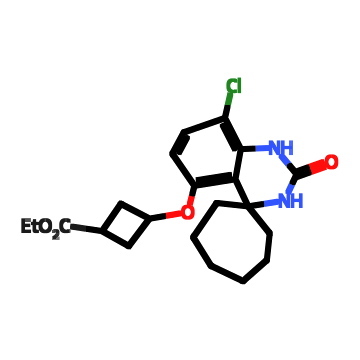 CCOC(=O)C1CC(Oc2ccc(Cl)c3c2C2(CCCCCC2)NC(=O)N3)C1